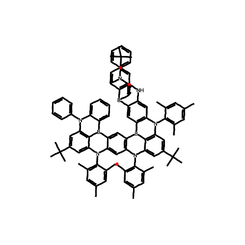 Cc1cc(C)c(N2c3cc4c(cc3B3c5ccccc5N(c5ccccc5)c5cc(C(C)(C)C)cc2c53)B2c3cc5c(cc3N(c3c(C)cc(C)cc3C)c3cc(C(C)(C)C)cc(c32)N4c2c(C)cc(C)cc2C)Nc2cc(C(C)(C)C)cc3c2B5c2ccccc2N3c2ccccc2)c(C)c1